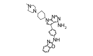 CN1CCN([C@H]2CC[C@@H](n3cc(-c4ccc(Nc5nc6ccccc6o5)cc4)c4c(N)ncnc43)CC2)CC1